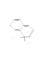 COC1(OC)C=CC=C2C=CCC=C21